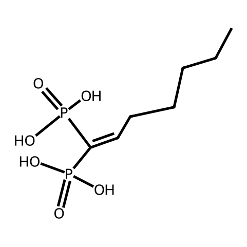 CCCCCC=C(P(=O)(O)O)P(=O)(O)O